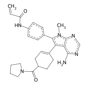 C=CC(=O)Nc1ccc(-c2c(C3=CCC(C(=O)N4CCCC4)CC3)c3c(N)ncnc3n2C)cc1